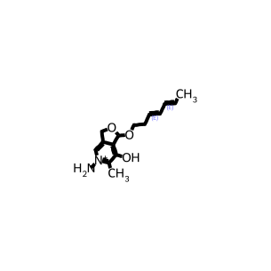 C/C=C/C=C/CCOC1OCc2c[n+](N)c(C)c(O)c21